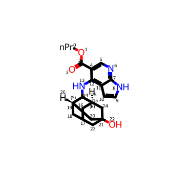 CCCOC(=O)c1cnc2[nH]ccc2c1NC1[C@@H]2CC3C[C@H]1CC(O)(C3)C2